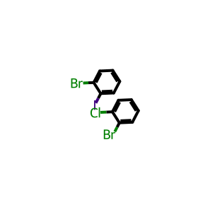 Brc1ccccc1I.Clc1ccccc1Br